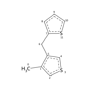 Cc1[c]scc1Cc1cccs1